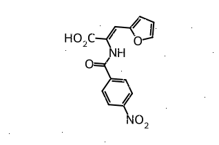 O=C(O)/C(=C/c1ccco1)NC(=O)c1ccc([N+](=O)[O-])cc1